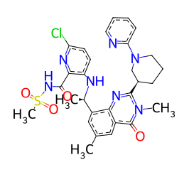 Cc1cc([C@@H](C)Nc2ccc(Cl)nc2C(=O)NS(C)(=O)=O)c2nc([C@@H]3CCCN(c4ccccn4)C3)n(C)c(=O)c2c1